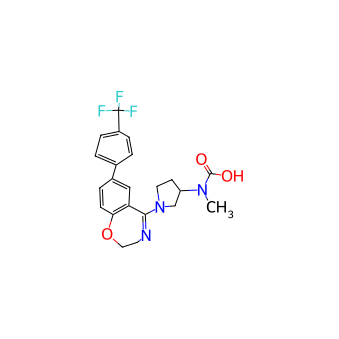 CN(C(=O)O)C1CCN(C2=NCCOc3ccc(-c4ccc(C(F)(F)F)cc4)cc32)C1